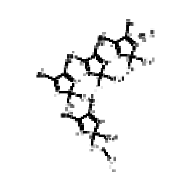 CC(C)(C)C1=NC(C(=O)O)(C(C)(C)C)N=C1C(C)(C)C.CC(C)(C)C1=NC(C(=O)O)(C(C)(C)C)N=C1C(C)(C)C.CC(C)(C)C1=NC(C(=O)O)(C(C)(C)C)N=C1C(C)(C)C.CC(C)(C)C1=NC(C(=O)O)(C(C)(C)C)N=C1C(C)(C)C.CO.Cl.Cl.[Ti]